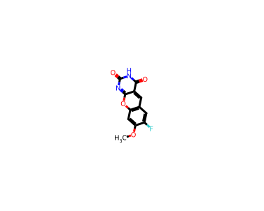 COc1cc2oc3nc(=O)[nH]c(=O)c-3cc2cc1F